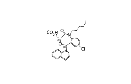 O=C(O)C[C@H]1O[C@H](c2cccc3ccccc23)c2cc(Cl)ccc2N(CCCCI)C1=O